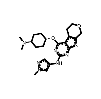 Cn1cc(Nc2nc(O[C@H]3CC[C@H](N(C)C)CC3)c3c4c(sc3n2)COCC4)cn1